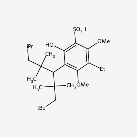 CCc1c(OC)c(C(C(C)(C)CC(C)C)C(C)(C)CC(C)(C)C)c(O)c(S(=O)(=O)O)c1OC